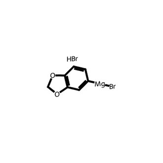 Br.[Br][Mg][c]1ccc2c(c1)OCO2